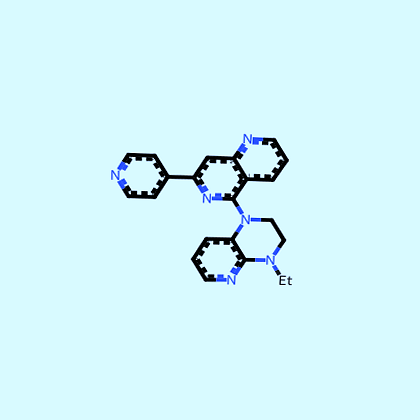 CCN1CCN(c2nc(-c3ccncc3)cc3ncccc23)c2cccnc21